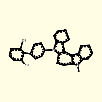 Cn1c2ccccc2c2c3c4ccccc4n(-c4ccc(-c5c(C#N)cccc5C#N)cc4)c3ccc21